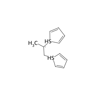 C[C](C[SH]1C=CC=C1)[SH]1C=CC=C1